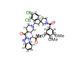 CCC(=O)Cn1c(C(=O)C2CCN(CCC3(c4ccc(Cl)c(Cl)c4)CCN(C(=O)c4cc(OC)c(OC)c(OC)c4)C3)CC2)nc2ccccc21